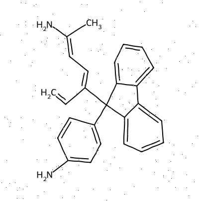 C=C/C(=C\C=C(/C)N)C1(c2ccc(N)cc2)c2ccccc2-c2ccccc21